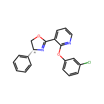 Clc1cccc(Oc2ncccc2C2=N[C@H](c3ccccc3)CO2)c1